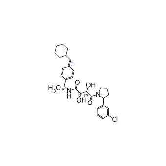 C[C@@H](NC(=O)[C@H](O)[C@@H](O)C(=O)N1CCCC1c1cccc(Cl)c1)C1=C=C/C(=C/C2CCCCC2)C=C1